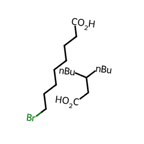 CCCCC(CCCC)CC(=O)O.O=C(O)CCCCCCCBr